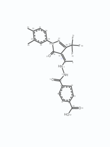 C/C(NNC(=O)c1ccc(C(=O)O)cc1)=C1/C(=O)N(c2ccc(C)c(C)c2)N=C1C(F)(F)F